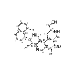 Cc1cccc2cccc(-c3ncc4c5c(cnc4c3F)N(C)C(=O)C3CNC(CC#N)CN53)c12